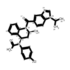 CC(=O)N(c1ccc(Cl)cc1)[C@@H]1C[C@H](C)N(C(=O)c2ccc3c(c2)ncn3C(C)C)c2ccccc21